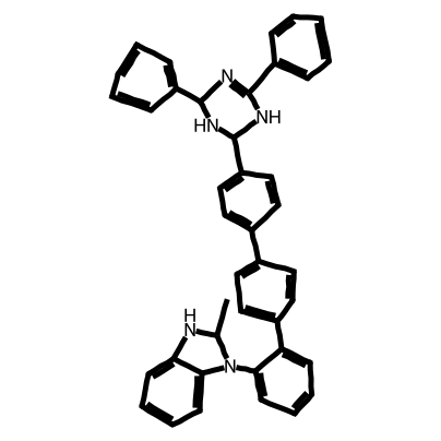 CC1Nc2ccccc2N1c1ccccc1-c1ccc(-c2ccc(C3NC(c4ccccc4)=NC(c4ccccc4)N3)cc2)cc1